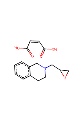 O=C(O)/C=C\C(=O)O.c1ccc2c(c1)CCN(CC1CO1)C2